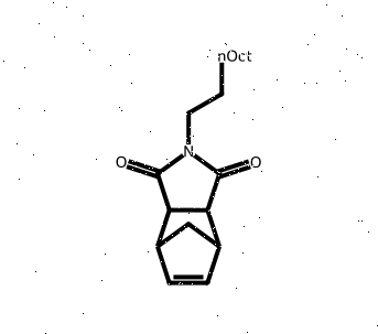 CCCCCCCCCCN1C(=O)C2C3C=CC(C3)C2C1=O